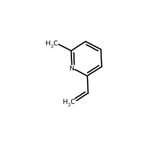 [CH2]c1cccc(C=C)n1